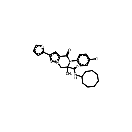 CC1(C(=O)NC2CCCCCCC2)Cn2nc(-c3cccs3)cc2C(=O)N1c1ccc(Cl)cc1